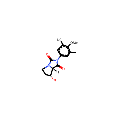 COc1c(C)cc(N2C(=O)[C@@H]3[C@H](O)CCN3C2=O)cc1C#N